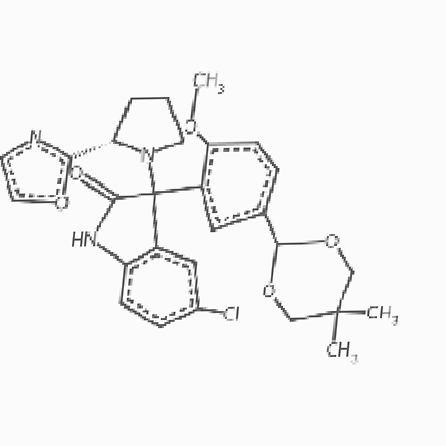 COc1ccc(C2OCC(C)(C)CO2)cc1C1(N2CCC[C@H]2c2ncco2)C(=O)Nc2ccc(Cl)cc21